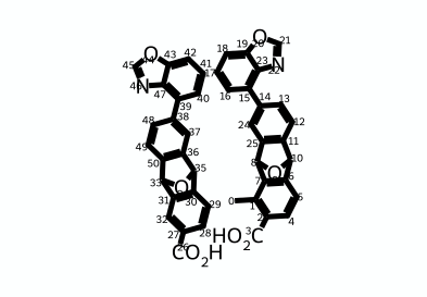 Cc1c(C(=O)O)ccc2c1C1OC2c2ccc(-c3cccc4ocnc34)cc21.O=C(O)c1ccc2c(c1)C1OC2c2cc(-c3cccc4ocnc34)ccc21